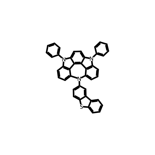 c1ccc(-n2c3ccc4c5c3c3c2cccc3n(-c2ccc3sc6ccccc6c3c2)c2cccc(c52)n4-c2ccccc2)cc1